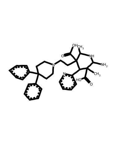 CC1NC(N)C(C)(C(=O)O)C(c2ccccn2)C1(CCN1CCC(c2ccccc2)(c2ccccc2)CC1)C(=O)O